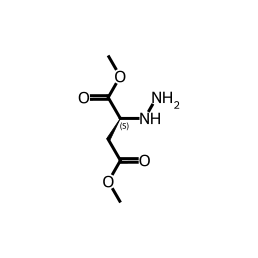 COC(=O)C[C@H](NN)C(=O)OC